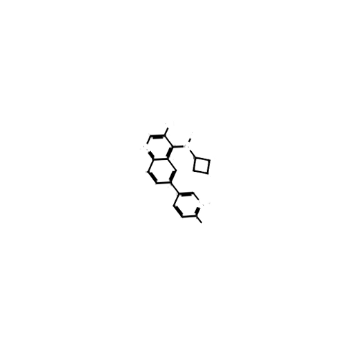 CC(=O)N(c1c(C)cnc2ccc(-c3ccc(F)nc3)cc12)C1CCC1